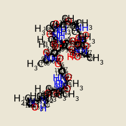 C=C(CCN1C(=O)C=CC1=O)NC(C)(C)CCOC(C)(C)CCC(=O)NC(C(=O)N[C@@H](C)C(=O)Nc1ccc(COC(=O)N2c3cc(OCCCCCCc4cc5c(cc4OC)C(=O)N4C=C(C)CC4CN5C(=O)OCc4ccc(NC(=O)C(C)NC(=O)[C@@H](NC(=O)CC(C)(C)OCC(C)(CC)NC(=C)CCN5C(=C)C=CC5=O)C(C)C)cc4)c(OC)cc3C(=O)N3C=C(C)CC3C2O)cc1)C(C)C